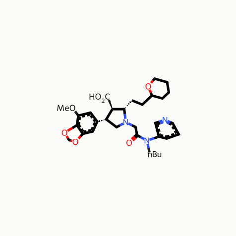 CCCCN(C(=O)CN1C[C@H](c2cc(OC)c3c(c2)OCO3)[C@@H](C(=O)O)[C@@H]1CCC1CCCCO1)c1cccnc1